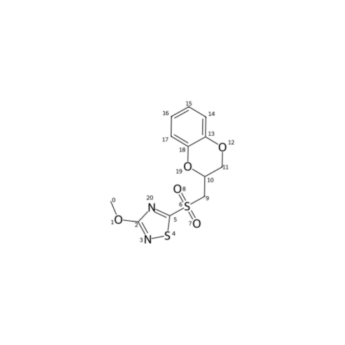 COc1nsc(S(=O)(=O)CC2COc3ccccc3O2)n1